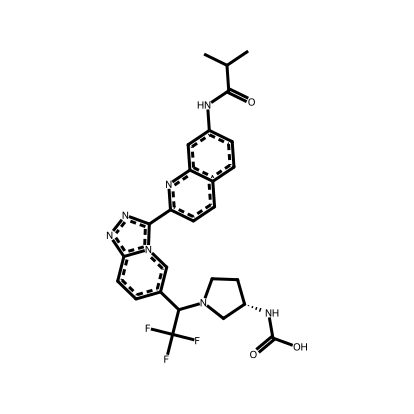 CC(C)C(=O)Nc1ccc2ccc(-c3nnc4ccc(C(N5CC[C@H](NC(=O)O)C5)C(F)(F)F)cn34)nc2c1